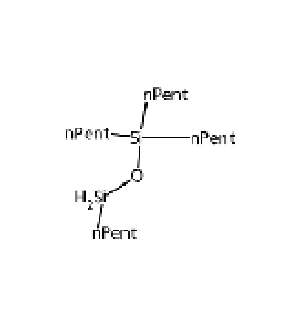 CCCCC[SiH2]O[Si](CCCCC)(CCCCC)CCCCC